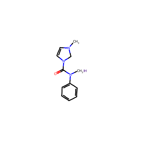 CN1C=CN(C(=O)N(C)c2ccccc2)C1.I